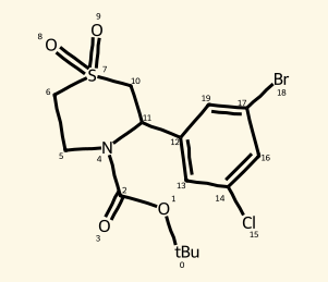 CC(C)(C)OC(=O)N1CCS(=O)(=O)CC1c1cc(Cl)cc(Br)c1